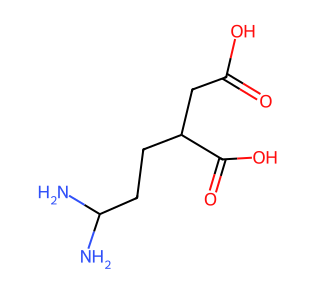 NC(N)CCC(CC(=O)O)C(=O)O